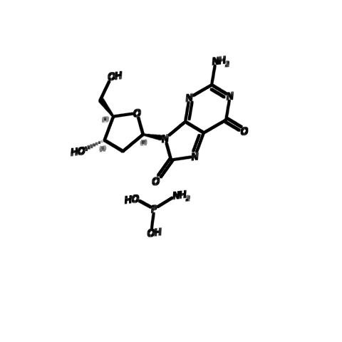 NC1=NC(=O)C2=NC(=O)N([C@H]3C[C@H](O)[C@@H](CO)O3)C2=N1.NP(O)O